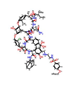 CCCCCOc1ccc(S(=O)(=O)NCCNCc2c(O)cc3c4c2C(O)(O)c2ccc(cc2-4)[C@H]2NC(=O)[C@@H]4NC(=O)[C@H](CC(N)=O)NC(=O)[C@H](NC(=O)[C@@H](CC(C)C)NC)[C@H](O)c5ccc(c(C)c5)Oc5cc4cc(c5O)Oc4ccc(cc4Cl)[C@@H](O)[C@H](NC2=O)C(=O)N[C@@H]3C(=O)NC2C3CC4CC(C3)CC2C4)cc1